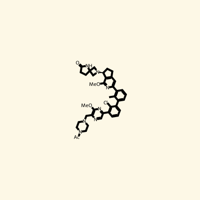 COc1nc(-c2cccc(-c3cccc(-c4cc5c(c(OC)n4)[C@@H](N4CC6(CCC(=O)N6)C4)CC5)c3C)c2Cl)cnc1CN1CCN(C(C)=O)CC1